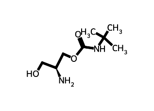 CC(C)(C)NC(=O)OC[C@@H](N)CO